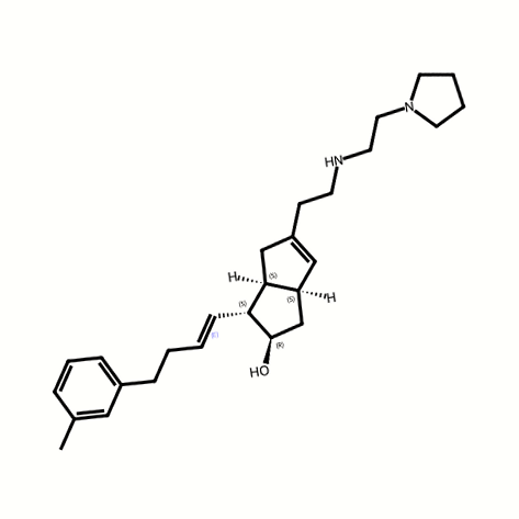 Cc1cccc(CC/C=C/[C@@H]2[C@H]3CC(CCNCCN4CCCC4)=C[C@H]3C[C@H]2O)c1